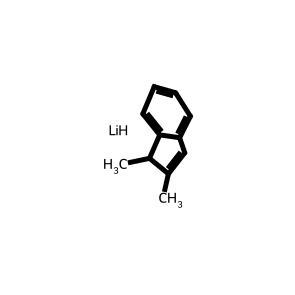 CC1=Cc2ccccc2C1C.[LiH]